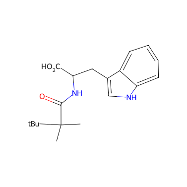 CC(C)(C)C(C)(C)C(=O)NC(Cc1c[nH]c2ccccc12)C(=O)O